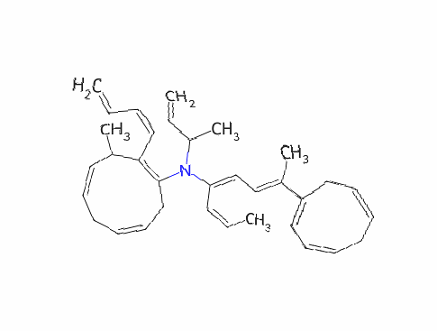 C=C/C=C\C1=C(/N(C(/C=C\C)=C/C=C(C)/C2=C/C=C\CC=CC2)C(C)C=C)C/C=C\CC=CC1C